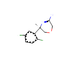 C[C@]1(c2cc(Br)ccc2F)COCC(N)=N1